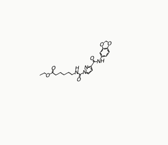 CCOC(=O)CCCCCNC(=O)n1ccc(C(=O)Nc2ccc3c(c2)OCO3)n1